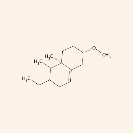 CCC1CC=C2C[C@@H](OC)CC[C@]2(C)C1C